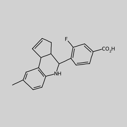 Cc1ccc2c(c1)C1C=CCC1C(c1ccc(C(=O)O)cc1F)N2